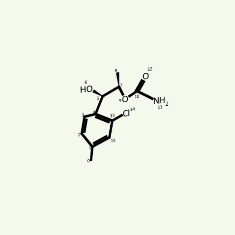 Cc1ccc([C@@H](O)[C@@H](C)OC(N)=O)c(Cl)c1